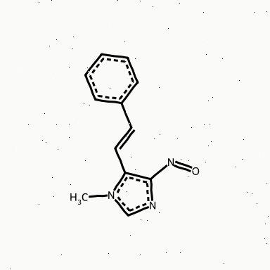 Cn1cnc(N=O)c1/C=C/c1ccccc1